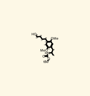 COc1cc(CC(C)NC(=O)OC(C)(C)C)c(OC)cc1CCCCO